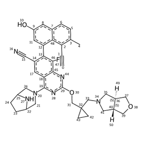 C#Cc1c(C)ccc2cc(O)cc(-c3c(C#N)cc4c(N5CC6CCC(C5)N6)nc(OCC5(CN6C[C@H]7COC[C@@H]7C6)CC5)nc4c3F)c12